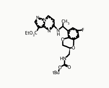 CCOC(=O)c1cnn2ccc(NC(C)c3cc(F)cc4c3OC[C@H](CNC(=O)OC(C)(C)C)O4)nc12